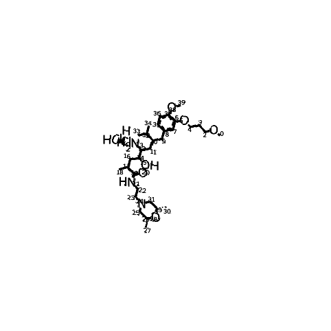 COCCCOc1cc(CC(CC(N)C(O)CC(C)C(=O)NCCN2C[C@H](C)O[C@@H](C)C2)C(C)C)ccc1OC.Cl.Cl